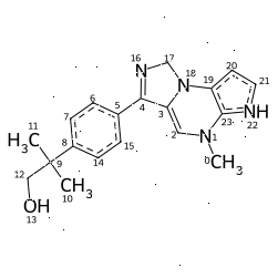 CN1C=C2C(c3ccc(C(C)(C)CO)cc3)=NCN2c2cc[nH]c21